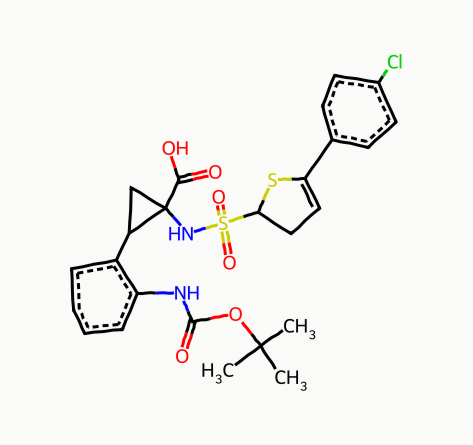 CC(C)(C)OC(=O)Nc1ccccc1C1CC1(NS(=O)(=O)C1CC=C(c2ccc(Cl)cc2)S1)C(=O)O